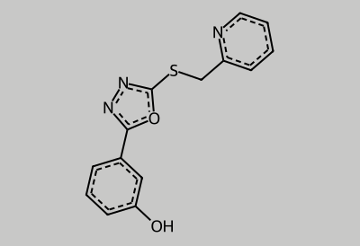 Oc1cccc(-c2nnc(SCc3ccccn3)o2)c1